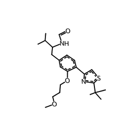 COCCCOc1cc(CC(NC=O)C(C)C)ccc1-c1csc(C(C)(C)C)n1